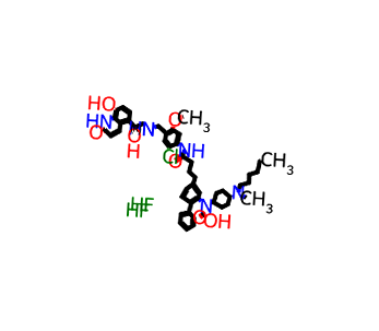 CCCCCCN(C)[C@H]1CC[C@H](N(C(=O)O)c2cc(CCCC(=O)Nc3cc(OC)c(CNC[C@H](O)c4ccc(O)c5[nH]c(=O)ccc45)cc3Cl)ccc2-c2ccccc2)CC1.F.F